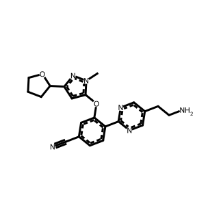 Cn1nc(C2CCCO2)cc1Oc1cc(C#N)ccc1-c1ncc(CCN)cn1